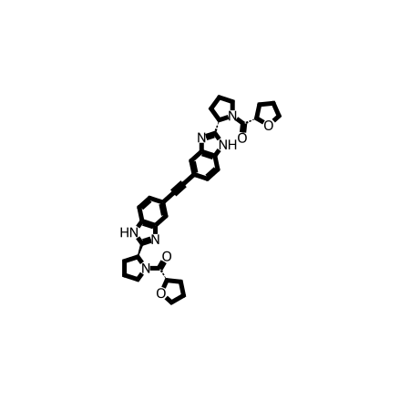 O=C([C@@H]1CCCO1)N1CCC[C@H]1c1nc2cc(C#Cc3ccc4[nH]c([C@@H]5CCCN5C(=O)[C@@H]5CCCO5)nc4c3)ccc2[nH]1